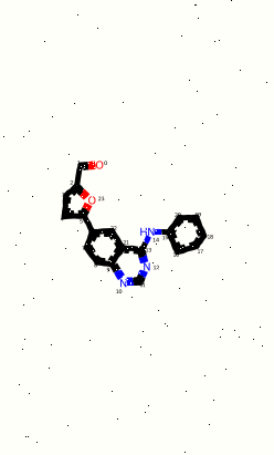 O=Cc1ccc(-c2ccc3ncnc(Nc4ccccc4)c3c2)o1